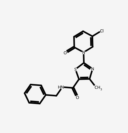 Cc1nc(-n2cc(Cl)ccc2=O)sc1C(=O)NCc1ccccc1